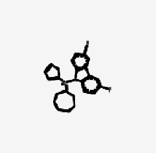 Fc1ccc2c(c1)-c1cc(F)ccc1[CH]2[Zr]([C]1=CC=CC1)=[C]1CCCCCC1